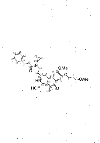 COCCCOc1cc(C(=O)N(C(C)C)[C@@H]2CC[C@H](CCN(C(=O)CCc3ccccc3)C3CC3)NC2)ccc1OC.Cl